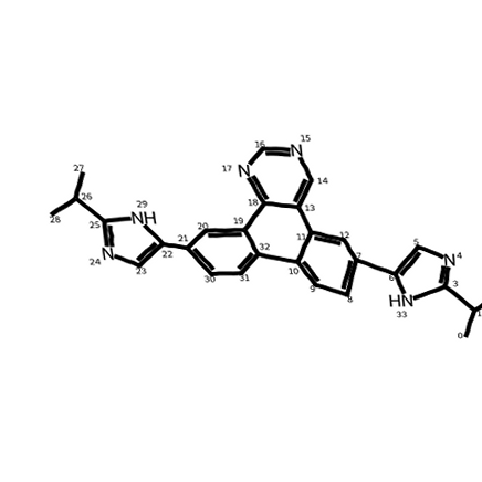 CC(C)c1ncc(-c2ccc3c(c2)c2cncnc2c2cc(-c4cnc(C(C)C)[nH]4)ccc32)[nH]1